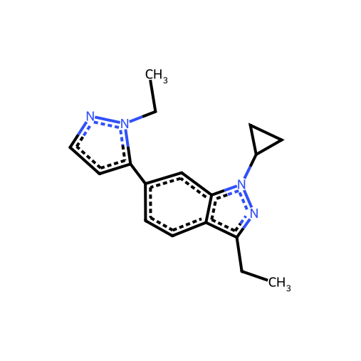 CCc1nn(C2CC2)c2cc(-c3ccnn3CC)ccc12